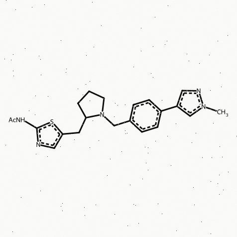 CC(=O)Nc1ncc(CC2CCCN2Cc2ccc(-c3cnn(C)c3)cc2)s1